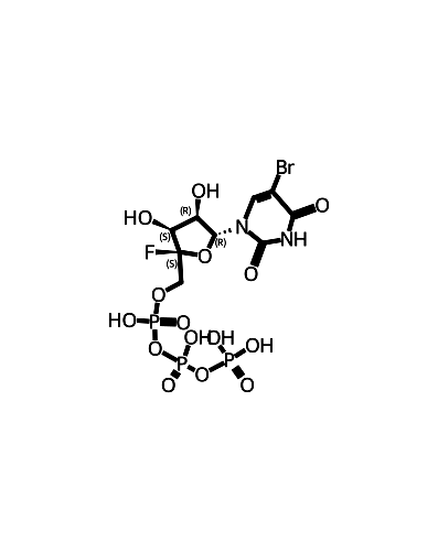 O=c1[nH]c(=O)n([C@@H]2O[C@](F)(COP(=O)(O)OP(=O)(O)OP(=O)(O)O)[C@@H](O)[C@H]2O)cc1Br